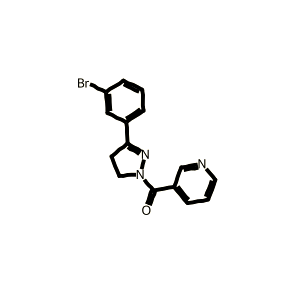 O=C(c1cccnc1)N1CCC(c2cccc(Br)c2)=N1